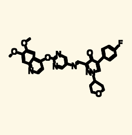 COc1cc2nccc(Oc3ncc(/N=C/c4nn(C5CCOCC5)cc(-c5ccc(F)cc5)c4=O)cn3)c2cc1OC